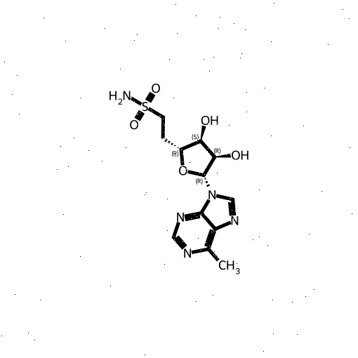 Cc1ncnc2c1ncn2[C@@H]1O[C@H](CCS(N)(=O)=O)[C@@H](O)[C@H]1O